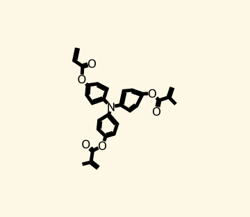 C=CC(=O)Oc1ccc(N(c2ccc(OC(=O)C(=C)C)cc2)c2ccc(OC(=O)C(=C)C)cc2)cc1